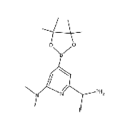 CN(C)c1cc(B2OC(C)(C)C(C)(C)O2)cc(C(F)P)n1